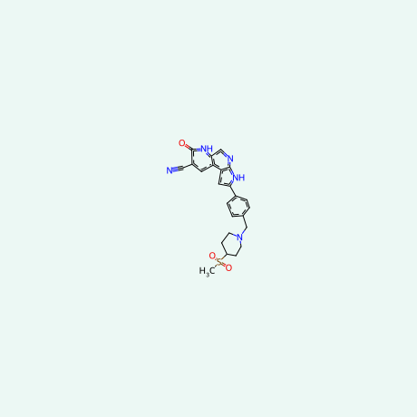 CS(=O)(=O)C1CCN(Cc2ccc(-c3cc4c(ncc5[nH]c(=O)c(C#N)cc54)[nH]3)cc2)CC1